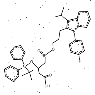 CC(C)c1c(CCCO[PH](=O)CC(CC(=O)O)O[Si](c2ccccc2)(c2ccccc2)C(C)(C)C)n(-c2ccc(F)cc2)c2ccccc12